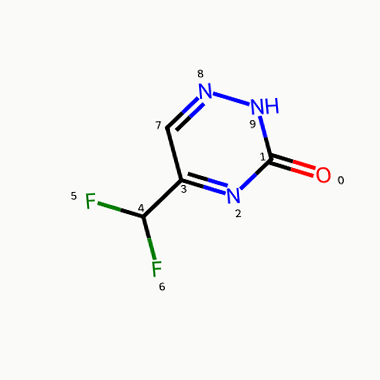 O=c1nc(C(F)F)cn[nH]1